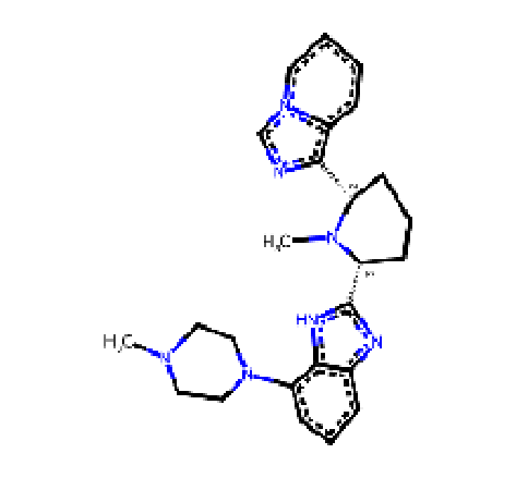 CN1CCN(c2cccc3nc([C@H]4CCC[C@@H](c5ncn6ccccc56)N4C)[nH]c23)CC1